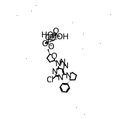 O=P(O)(O)CP(=O)(O)OC[C@@H]1CC[C@H](n2nnc3c(N4CCC[C@@H]4c4ccccc4)nc(Cl)nc32)O1